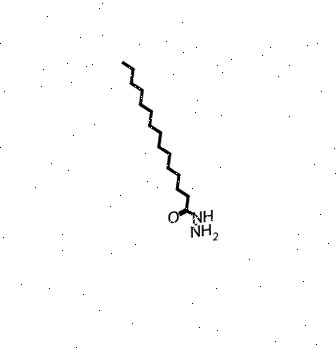 CCCCCCCCCCCCCCC(=O)NN